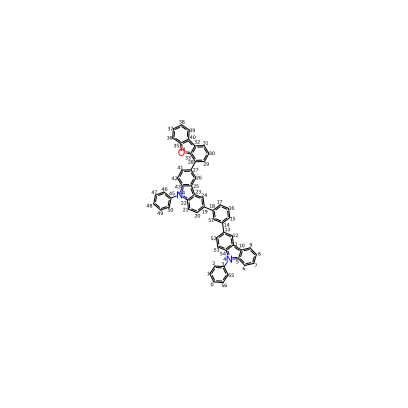 c1ccc(-n2c3ccccc3c3cc(-c4cccc(-c5ccc6c(c5)c5cc(-c7cccc8c7oc7ccccc78)ccc5n6-c5ccccc5)c4)ccc32)cc1